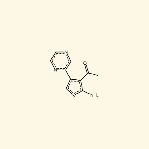 CC(=O)c1c(-c2cnccn2)csc1N